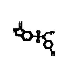 CCc1ccc(N(CC(C)C)S(=O)(=O)c2ccc3cn[nH]c3c2)cc1